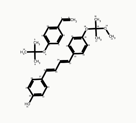 C=Cc1ccc(OC(C)(C)C)cc1.COC(C)(C)Oc1ccc(C=CC=Cc2ccc(O)cc2)cc1